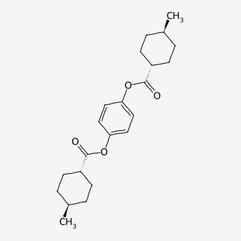 C[C@H]1CC[C@H](C(=O)Oc2ccc(OC(=O)[C@H]3CC[C@H](C)CC3)cc2)CC1